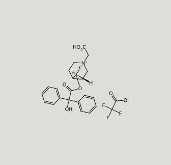 O=C(O)C[N+]12CCC(CC1)[C@@H](OC(=O)C(O)(c1ccccc1)c1ccccc1)C2.O=C([O-])C(F)(F)F